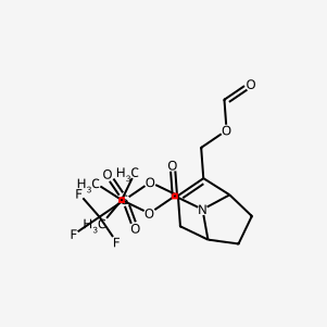 CC(C)(C)OC(=O)N1C2CCC1C(COC=O)=C(OS(=O)(=O)C(F)(F)F)C2